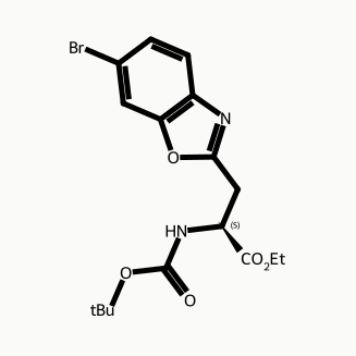 CCOC(=O)[C@H](Cc1nc2ccc(Br)cc2o1)NC(=O)OC(C)(C)C